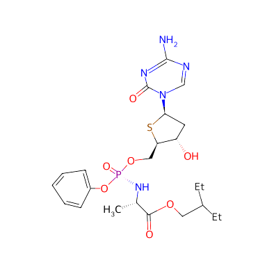 CCC(CC)COC(=O)[C@H](C)N[P@](=O)(OC[C@H]1S[C@@H](n2cnc(N)nc2=O)C[C@@H]1O)Oc1ccccc1